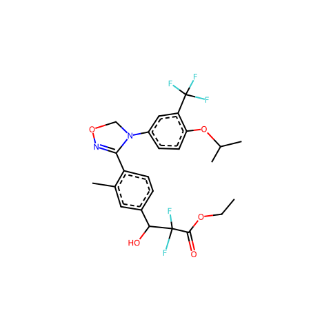 CCOC(=O)C(F)(F)C(O)c1ccc(C2=NOCN2c2ccc(OC(C)C)c(C(F)(F)F)c2)c(C)c1